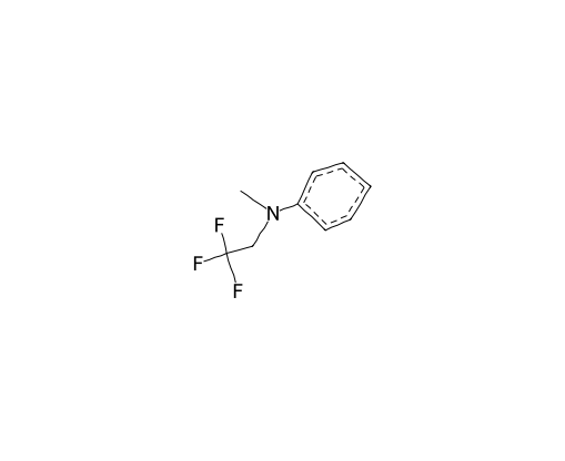 CN(CC(F)(F)F)c1ccccc1